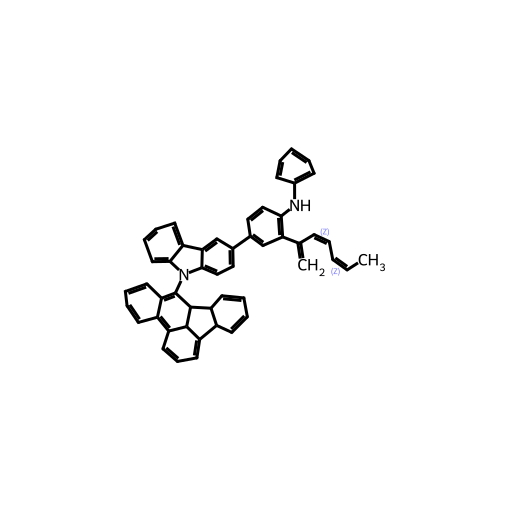 C=C(/C=C\C=C/C)c1cc(-c2ccc3c(c2)c2ccccc2n3C2=c3ccccc3=C3C=CC=C4C5C=CC=CC5C2C43)ccc1Nc1ccccc1